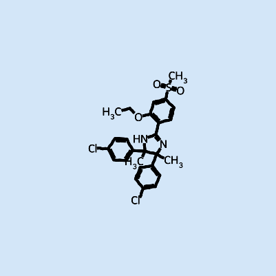 CCOc1cc(S(C)(=O)=O)ccc1C1=NC(C)(c2ccc(Cl)cc2)C(C)(c2ccc(Cl)cc2)N1